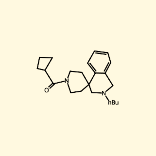 CCCCN1Cc2ccccc2C2(CCN(C(=O)C3CCC3)CC2)C1